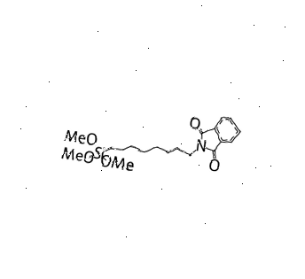 CO[Si](CCCCCCCCN1C(=O)c2ccccc2C1=O)(OC)OC